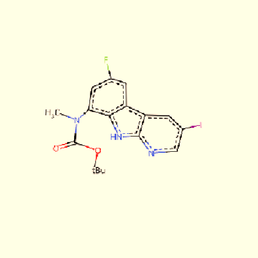 CN(C(=O)OC(C)(C)C)c1cc(F)cc2c1[nH]c1ncc(I)cc12